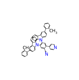 Cc1ccccc1-c1ccc2c(c1)c1ccccc1n2-c1cc(C#N)c(-c2ccncc2)cc1-n1c2ccccc2c2cc(-c3ccccc3C)ccc21